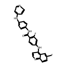 O=C(Nc1ccc(Nc2ccncc2)cc1)c1ccc(Nc2ccnc3ccc(F)cc23)cc1F